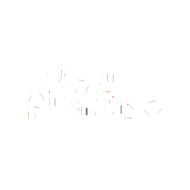 C=C(C(=O)OC(C)(C)Oc1ccc(-c2ccccc2)cc1)c1ccc(OC(=O)C(C)(C)Oc2ccc(Br)cc2)c(OC)c1